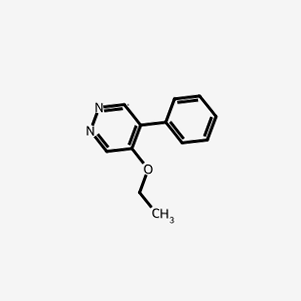 CCOc1cnn[c]c1-c1ccccc1